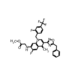 C=C1C(c2noc(Cc3ccccc3)n2)=CN(Cc2ccc(C(F)(F)F)cc2F)c2cc(NCC(=O)OC)c(F)cc21